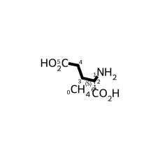 C.N[C@@H](CCC(=O)O)C(=O)O